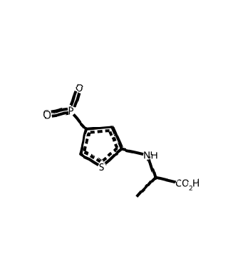 CC(Nc1cc(P(=O)=O)cs1)C(=O)O